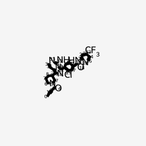 CC#CC(=O)N1CCCC(c2nc(-c3ccc(C(=O)Nc4cc(C(F)(F)F)ccn4)cc3Cl)n3c(N)nccc23)C1